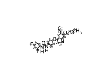 [C-]#[N+]c1cc2c(Oc3ccc(NC(=O)Nc4ccc(F)cc4F)c(F)c3)ccnc2cc1OCCOC